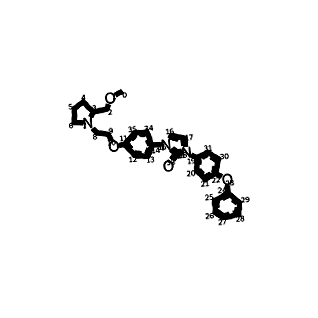 COCC1CCCN1CCOc1ccc(-n2ccn(-c3ccc(Oc4ccccc4)cc3)c2=O)cc1